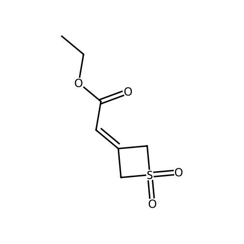 CCOC(=O)C=C1CS(=O)(=O)C1